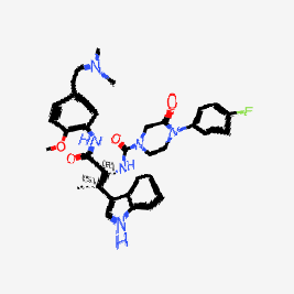 COc1ccc(CN(C)C)cc1NC(=O)[C@H](NC(=O)N1CCN(c2ccc(F)cc2)C(=O)C1)[C@@H](C)c1c[nH]c2ccccc12